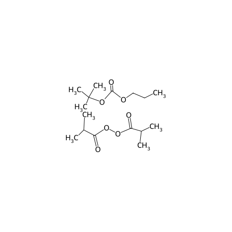 CC(C)C(=O)OOC(=O)C(C)C.CCCOC(=O)OC(C)(C)C